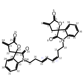 C=C1CC2(OC1=O)C(=O)N(CC/C=C\C=C\CCN1C(=O)C3(CC(=C)C(=O)O3)c3ccccc31)c1ccccc12